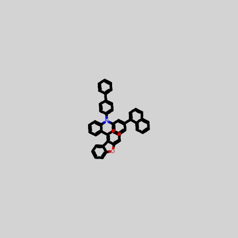 c1ccc(-c2ccc(N(c3cccc(-c4cccc5ccccc45)c3)c3ccccc3-c3cccc4oc5ccccc5c34)cc2)cc1